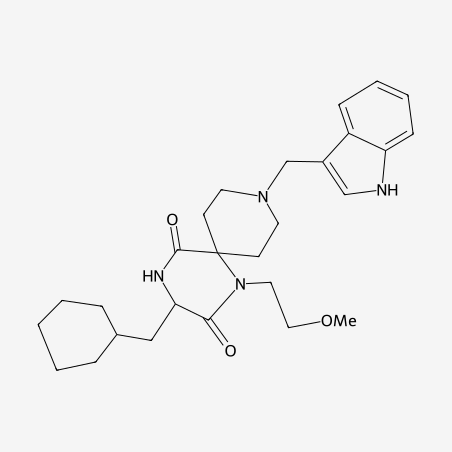 COCCN1C(=O)C(CC2CCCCC2)NC(=O)C12CCN(Cc1c[nH]c3ccccc13)CC2